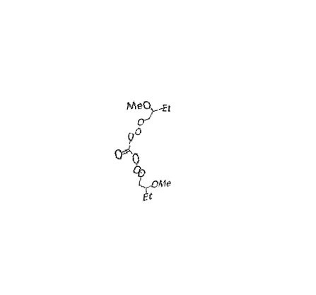 CCC(COOOC(=O)OOOCC(CC)OC)OC